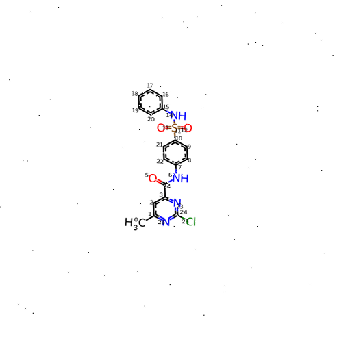 Cc1cc(C(=O)Nc2ccc(S(=O)(=O)Nc3ccccc3)cc2)nc(Cl)n1